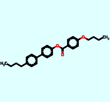 CCCCOc1ccc(C(=O)Oc2ccc(-c3ccc(CCCC)cc3)cc2)cc1